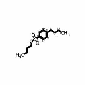 CCCCOS(=O)(=O)c1ccc(CCCC)cc1